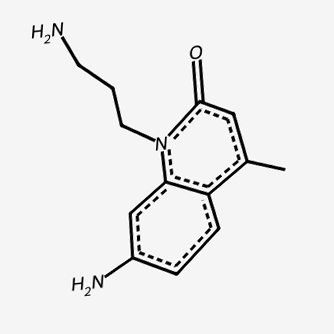 Cc1cc(=O)n(CCCN)c2cc(N)ccc12